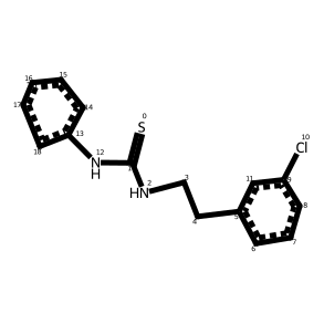 S=C(NCCc1cccc(Cl)c1)Nc1cc[c]cc1